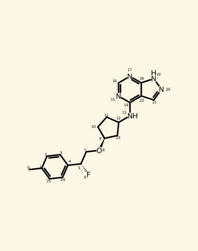 Cc1ccc([C@@H](F)CO[C@H]2CCC(Nc3ncnc4[nH]ncc34)C2)cc1